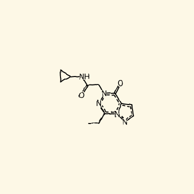 CCc1nn(CC(=O)NC2CC2)c(=O)c2ccnn12